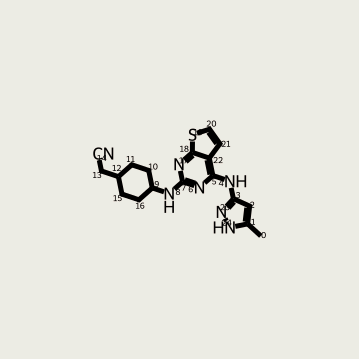 Cc1cc(Nc2nc(NC3CCC(CC#N)CC3)nc3sccc23)n[nH]1